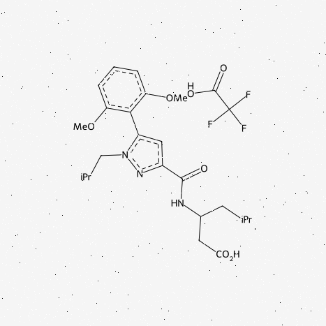 COc1cccc(OC)c1-c1cc(C(=O)NC(CC(=O)O)CC(C)C)nn1CC(C)C.O=C(O)C(F)(F)F